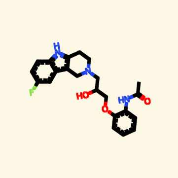 CC(=O)Nc1ccccc1OCC(O)CN1CCc2[nH]c3ccc(F)cc3c2C1